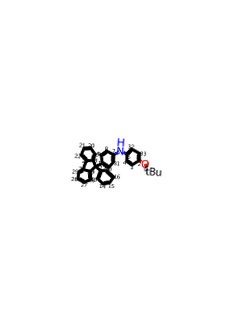 CC(C)(C)Oc1ccc(Nc2ccc(C3(c4ccccc4)c4ccccc4-c4ccccc43)cc2)cc1